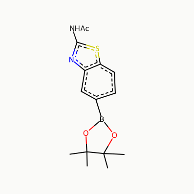 CC(=O)Nc1nc2cc(B3OC(C)(C)C(C)(C)O3)ccc2s1